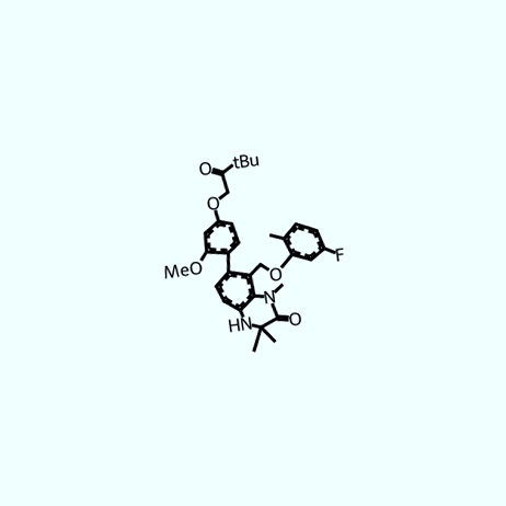 COc1cc(OCC(=O)C(C)(C)C)ccc1-c1ccc2c(c1COc1cc(F)ccc1C)N(C)C(=O)C(C)(C)N2